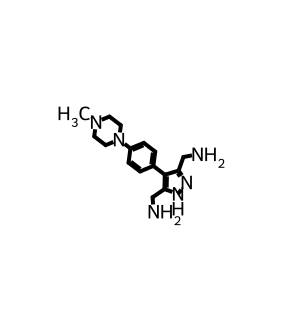 CN1CCN(c2ccc(-c3c(CN)n[nH]c3CN)cc2)CC1